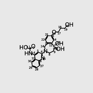 O=C(O)Nc1cc(N2CCS(O)(O)c3cc(OCCCO)ccc3C2)nc2ccccc12